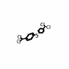 ClC(Cl)c1ccc(Sc2ccc(C(Cl)Cl)cc2)cc1